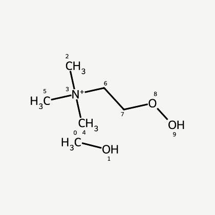 CO.C[N+](C)(C)CCOO